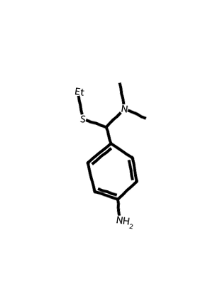 CCSC(c1ccc(N)cc1)N(C)C